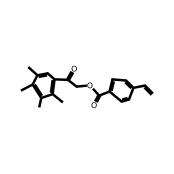 C=Cc1ccc(C(=O)OCC(=O)c2cc(C)c(C)c(C)c2C)cc1